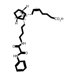 O=C(O)CCC/C=C\C[C@@H]1[C@H](CCCCNC(=O)C(=O)Nc2ccccc2)[C@@H]2CC[C@H]1O2